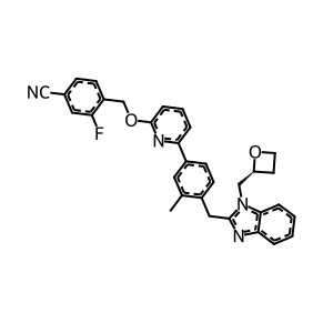 Cc1cc(-c2cccc(OCc3ccc(C#N)cc3F)n2)ccc1Cc1nc2ccccc2n1C[C@@H]1CCO1